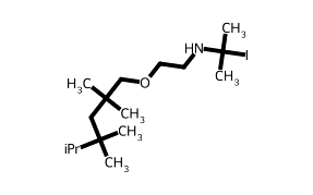 CC(C)C(C)(C)CC(C)(C)COCCNC(C)(C)I